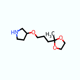 CC1(CCCOC2CCNC2)OCCO1